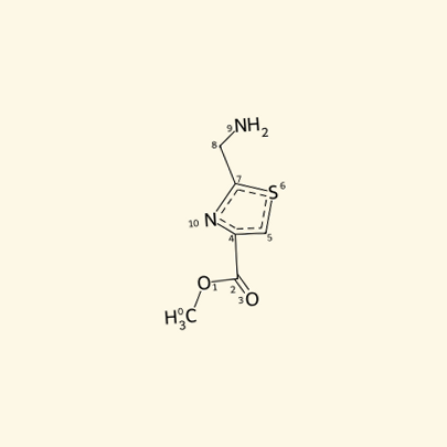 COC(=O)c1csc(CN)n1